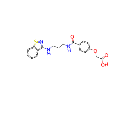 O=C(O)COc1ccc(C(=O)NCCCNc2nsc3ccccc23)cc1